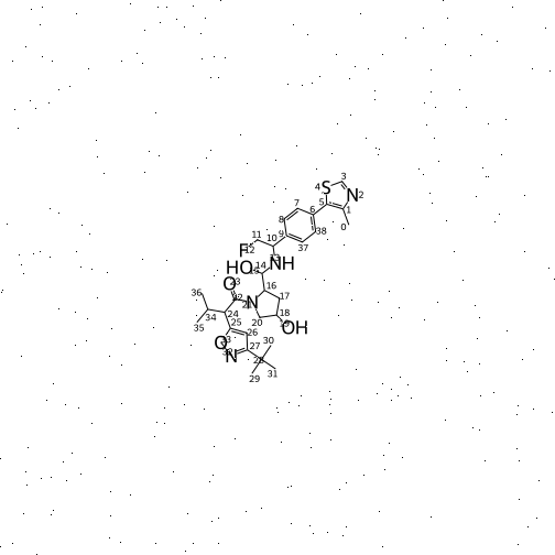 Cc1ncsc1-c1ccc(C(CF)NC(O)C2CC(O)CN2C(=O)C(c2cc(C(C)(C)C)no2)C(C)C)cc1